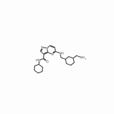 NCC1CCCC(CNc2ccn3ncc(C(=O)NC4CCCCC4)c3n2)C1